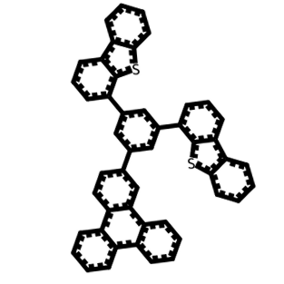 c1ccc2c(c1)sc1c(-c3cc(-c4ccc5c6ccccc6c6ccccc6c5c4)cc(-c4cccc5c4sc4ccccc45)c3)cccc12